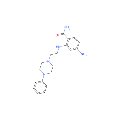 NC(=O)c1ccc(N)cc1NCCN1CCN(c2ccccc2)CC1